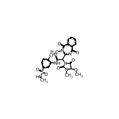 CNS(=O)(=O)c1ccc(Cl)c(NC(=O)C(c2nc(=O)c3ccccc3c(=O)n2C)N2C(=O)C(OC)N(C)C2=O)c1